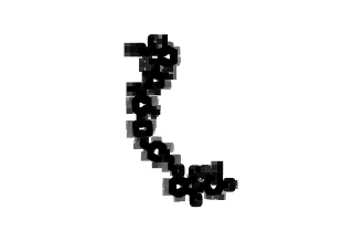 CN(SO)c1ccccc1Nc1nc(Nc2ccc(N3CCN(CC4CCN(CCOc5cccc6c5C(=O)N(C5CCC(=O)NC5=O)C6=O)CC4)CC3)c(F)c2)ncc1Cl